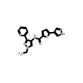 O=C(Nc1cn(CC(F)(F)F)nc1-c1ccccn1)c1ccc(-c2cn[nH]c2)o1